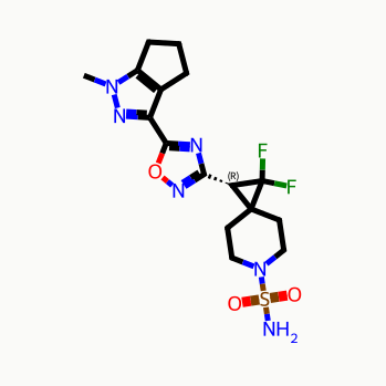 Cn1nc(-c2nc([C@@H]3C(F)(F)C34CCN(S(N)(=O)=O)CC4)no2)c2c1CCC2